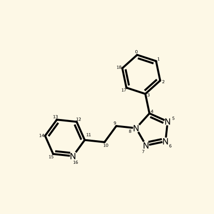 c1ccc(-c2nnnn2CCc2ccccn2)cc1